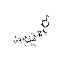 CC(C)(C)N=NC(C)(C)NC(=O)NNC(=O)c1ccc(Br)cc1